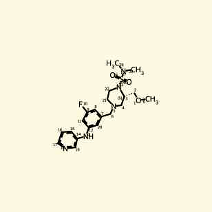 COC[C@@H]1CN(Cc2cc(F)cc(Nc3cccnc3)c2)CCN1S(=O)(=O)N(C)C